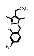 CCOC(=O)Cc1c(C)nn(Cc2ccc(N)cc2Cl)c1C